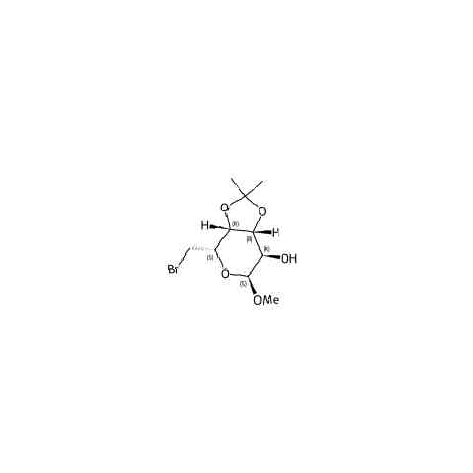 CO[C@H]1O[C@H](CBr)[C@@H]2OC(C)(C)O[C@@H]2[C@H]1O